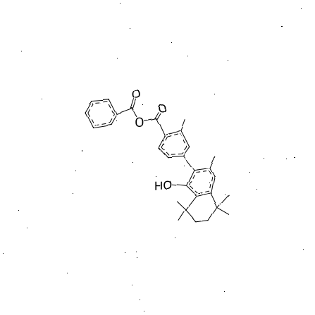 Cc1cc(-c2c(C)cc3c(c2O)C(C)(C)CCC3(C)C)ccc1C(=O)OC(=O)c1ccccc1